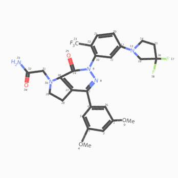 COc1cc(OC)cc(-c2nn(-c3cc(N4CCC(F)(F)C4)ccc3C(F)(F)F)c(=O)c3c2CCN3CC(N)=O)c1